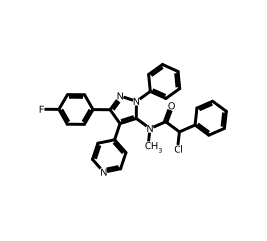 CN(C(=O)C(Cl)c1ccccc1)c1c(-c2ccncc2)c(-c2ccc(F)cc2)nn1-c1ccccc1